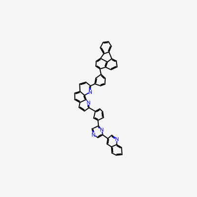 c1cc(-c2cncc(-c3cnc4ccccc4c3)n2)cc(-c2ccc3ccc4ccc(-c5cccc(-c6ccc7c8c(cccc68)-c6ccccc6-7)c5)nc4c3n2)c1